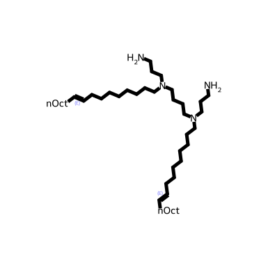 CCCCCCCC/C=C/CCCCCCCCN(CCCN)CCCCN(CCCN)CCCCCCCC/C=C/CCCCCCCC